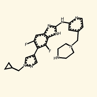 Fc1cc2nc(Nc3cc(CN4CCNCC4)ccn3)[nH]c2c(F)c1-c1cnn(CC2CC2)c1